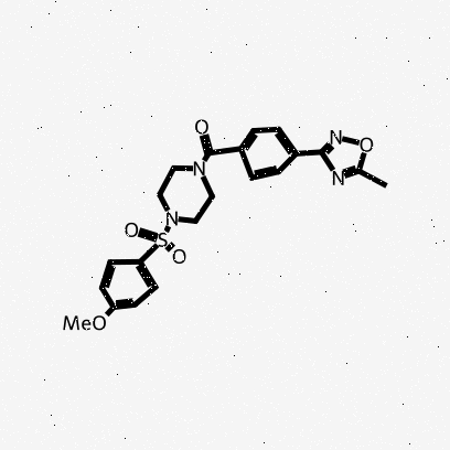 COc1ccc(S(=O)(=O)N2CCN(C(=O)c3ccc(-c4noc(C)n4)cc3)CC2)cc1